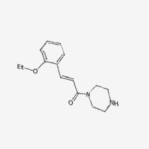 CCOc1ccccc1C=CC(=O)N1CCNCC1